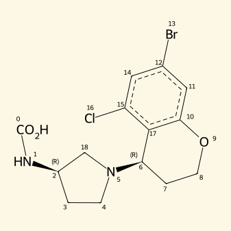 O=C(O)N[C@@H]1CCN([C@@H]2CCOc3cc(Br)cc(Cl)c32)C1